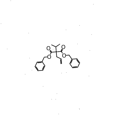 C=CCC(C(=O)OCc1ccccc1)(C(=O)OCc1ccccc1)C(C)C